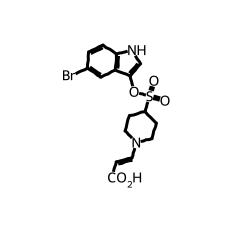 O=C(O)C=CN1CCC(S(=O)(=O)Oc2c[nH]c3ccc(Br)cc23)CC1